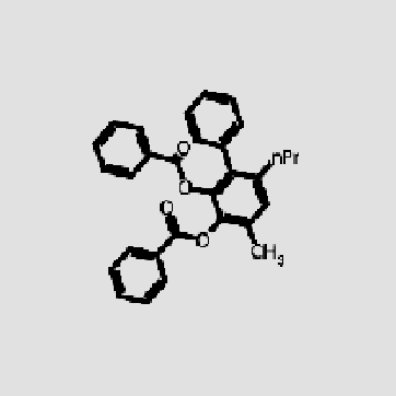 CCCc1cc(C)c(OC(=O)c2ccccc2)c(OC(=O)c2ccccc2)c1-c1ccccc1